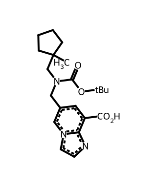 CC1(CN(Cc2cc(C(=O)O)c3nccn3c2)C(=O)OC(C)(C)C)CCCC1